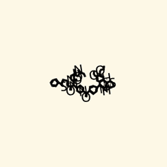 CCOc1cc2c(cc1OC)C(c1ccc(C(=O)N3CCC(n4c(=O)c5sc(-c6ccccc6)cc5n(Cc5cnc(CC)o5)c4=O)CC3)cc1)=N[C@@H]1CCSC[C@H]21